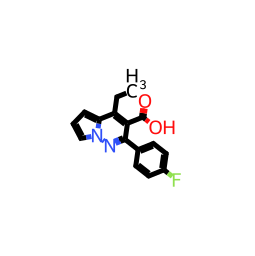 CCc1c(C(=O)O)c(-c2ccc(F)cc2)nn2cccc12